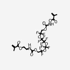 C=C(C)C(=O)OCCNC(=O)OCC(F)(F)OC(F)(F)OC(F)(F)C(F)(F)OC(F)(F)COC(=O)NOC(=O)C(=C)C